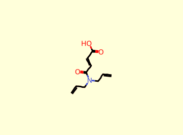 C=CCN(CC=C)C(=O)C=CC(=O)O